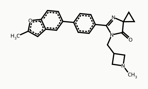 Cc1cc2cc(-c3ccc(C4=NC5(CC5)C(=O)N4CC4CN(C)C4)cc3)ccc2o1